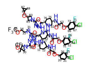 CC1(OC(F)(F)F)CN(c2nnc([C@H]3CC[C@H](NC(=O)COc4ccc(Cl)c(F)c4)CN3)o2)C1.CN(CCOC(F)(F)F)c1nnc([C@H]2CC[C@H](NC(=O)COc3ccc(Cl)c(F)c3)CN2)o1.O=C(COc1ccc(Cl)c(F)c1)N[C@H]1CC[C@H](c2nnc(N3CC(OC4CC4)C3)o2)NC1